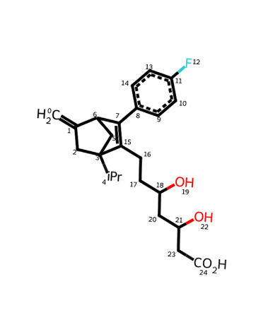 C=C1CC2(C(C)C)CC1C(c1ccc(F)cc1)=C2CCC(O)CC(O)CC(=O)O